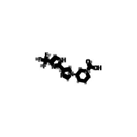 O=C(O)N1CCC[C@H](n2cnc(-c3nc(C(F)(F)F)c[nH]3)c2)C1